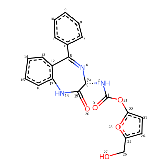 O=C(N[C@H]1N=C(c2ccccc2)c2ccccc2NC1=O)Oc1ccc(CO)o1